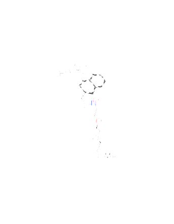 COCCOCCOCCN1OCc2cc(C(=O)O)c3c(C(=O)O)cccc3c2O1